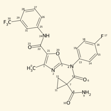 Cc1nc(N(C(=O)C2(C(N)=O)CC2)c2ccc(F)cc2)oc1C(=O)Nc1cccc(C(F)(F)F)c1